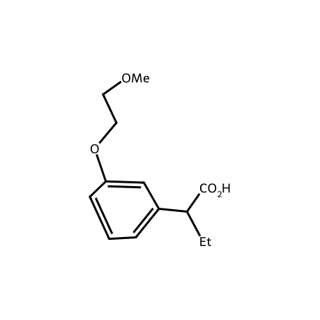 CCC(C(=O)O)c1cccc(OCCOC)c1